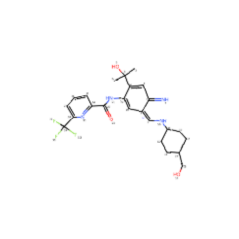 CC(C)(O)C1=CC(=N)/C(=C\NC2CCC(CO)CC2)C=C1NC(=O)c1cccc(C(F)(F)F)n1